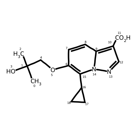 CC(C)(O)COc1ccc2c(C(=O)O)cnn2c1C1CC1